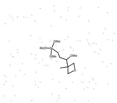 COC(CC[Si](OC)(OC)OC)C1(C)COC1